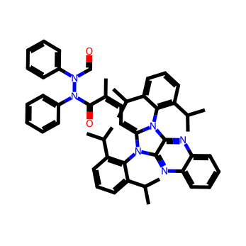 C/C(=C/C=C1N(c2c(C(C)C)cccc2C(C)C)c2nc3ccccc3nc2N1c1c(C(C)C)cccc1C(C)C)C(=O)N(c1ccccc1)N(C=O)c1ccccc1